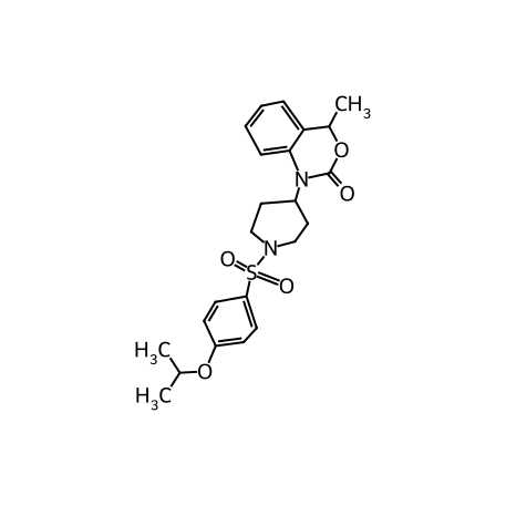 CC(C)Oc1ccc(S(=O)(=O)N2CCC(N3C(=O)OC(C)c4ccccc43)CC2)cc1